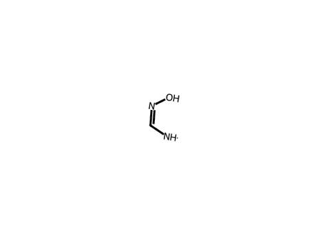 [NH]/C=N\O